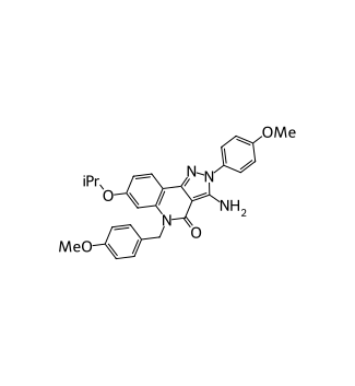 COc1ccc(Cn2c(=O)c3c(N)n(-c4ccc(OC)cc4)nc3c3ccc(OC(C)C)cc32)cc1